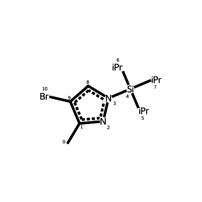 Cc1nn([Si](C(C)C)(C(C)C)C(C)C)cc1Br